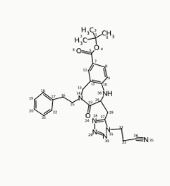 CC(C)(C)OC(=O)c1ccc2c(c1)CN(CCc1ccccc1)C(=O)C(Cc1nnnn1CCC#N)N2